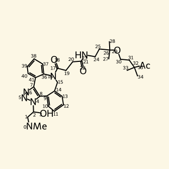 CNCC(O)n1nnc2c1-c1ccccc1CN(C(=O)CCC(=O)NCCC(C)(C)OCCC(C)(C)C(C)=O)c1ccccc1-2